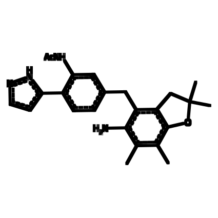 CC(=O)Nc1cc(Cc2c(N)c(C)c(C)c3c2CC(C)(C)O3)ccc1-c1ccn[nH]1